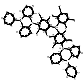 Cc1cc(C)c(C)c(B(c2c(C)c(C)c(N3c4ccccc4B(c4ccccc4)c4ccccc43)c(C)c2C)c2c(C)c(C)c(N3c4ccccc4B(c4ccccc4)c4ccccc43)c(C)c2C)c1C